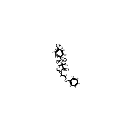 CN(CCSc1ccccc1)C(=O)C(C)(C)S(=O)(=O)c1ccc(C(F)(F)F)cn1